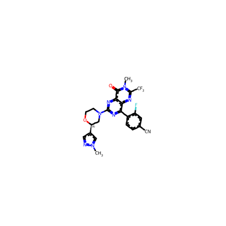 Cn1cc([C@@H]2CN(c3nc(-c4ccc(C#N)cc4F)c4nc(C(F)(F)F)n(C)c(=O)c4n3)CCO2)cn1